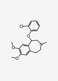 COc1cc2c(cc1OC)C(Oc1ccccc1Cl)CN(C)CC2